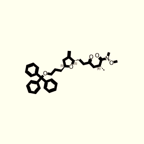 C=C1C[C@H](CCCOC(c2ccccc2)(c2ccccc2)c2ccccc2)O[C@H]1CCC(=O)C[C@@H](C)C(=O)N(C)OC